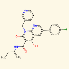 C=C(CC)NC(=O)c1c(O)c2cc(-c3ccc(F)cc3)cnc2n(Cc2cccnc2)c1=O